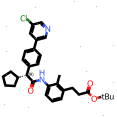 Cc1c(CCC(=O)OC(C)(C)C)cccc1NC(=O)[C@@H](c1ccc(-c2cncc(Cl)c2)cc1)C1CCCC1